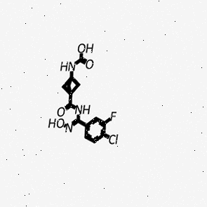 O=C(O)NC12CC(C(=O)N/C(=N\O)c3ccc(Cl)c(F)c3)(C1)C2